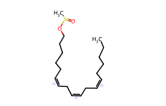 CCCCC/C=C\C/C=C\C/C=C\CCCCCOS(C)=O